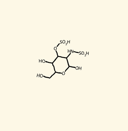 O=S(=O)(O)NC1C(O)OC(CO)C(O)C1OS(=O)(=O)O